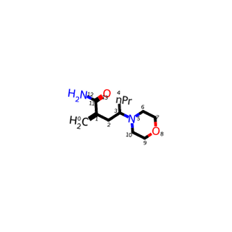 C=C(CC(CCC)N1CCOCC1)C(N)=O